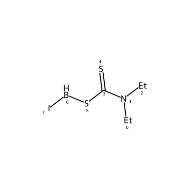 CCN(CC)C(=S)SBI